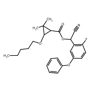 CCCCCOC1C(C(=O)OC(C#N)c2cc(Oc3ccccc3)ccc2F)C1(C)C